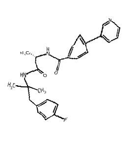 C[C@H](NC(=O)c1ccc(-c2cccnc2)cc1)C(=O)NC(C)(C)Cc1ccc(F)cc1